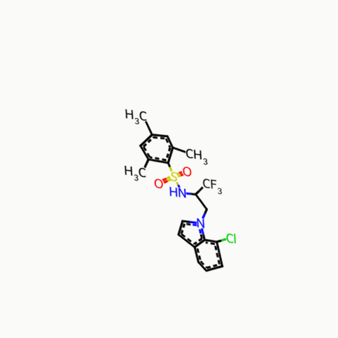 Cc1cc(C)c(S(=O)(=O)NC(Cn2ccc3cccc(Cl)c32)C(F)(F)F)c(C)c1